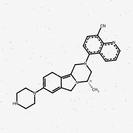 C[C@H]1CN(c2ccc(C#N)c3ncccc23)CC2=C3CC=C(N4CCNCC4)C=C3CN21